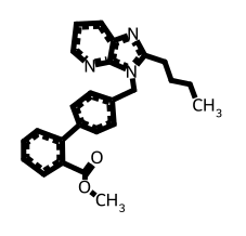 CCCCc1nc2cccnc2n1Cc1ccc(-c2ccccc2C(=O)OC)cc1